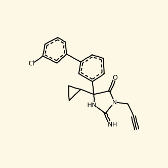 C#CCN1C(=N)NC(c2cccc(-c3cccc(Cl)c3)c2)(C2CC2)C1=O